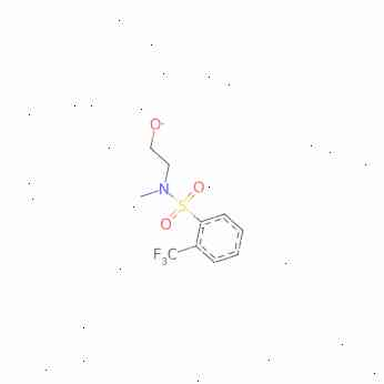 CN(CC[O])S(=O)(=O)c1ccccc1C(F)(F)F